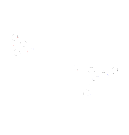 CCCC[n+]1cc(Cl)cc2c1N=C(/C=C/C(=C/C=C1\N(CCC)c3ccccc3C1(C)C)c1cccc(CCC(=O)NCCCOCCOCCOCCCNC(=O)c3ccc(C(=O)CO)c(P(=O)(c4ccccc4)c4ccccc4)c3)c1)C2(C)C